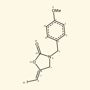 COc1ccc(CN2C/C(=C/I)OC2=O)cc1